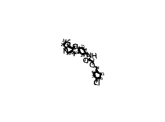 O=C(COCc1ccc(Cl)cc1)Nc1ccc(Oc2ccnc3ccsc23)c(F)c1